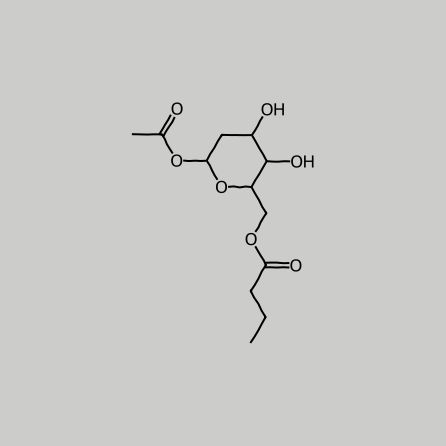 CCCC(=O)OCC1OC(OC(C)=O)CC(O)C1O